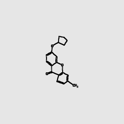 Cc1ccc2c(=O)c3ccc(OC4CCCC4)cc3oc2c1